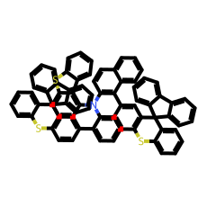 c1ccc2c(c1)Sc1ccc(-c3ccccc3N(c3ccc4ccccc4c3-c3ccc4c(c3)C3(c5ccccc5S4)c4ccccc4-c4ccccc43)c3cccc4sc5ccccc5c34)cc1C21c2ccccc2-c2ccccc21